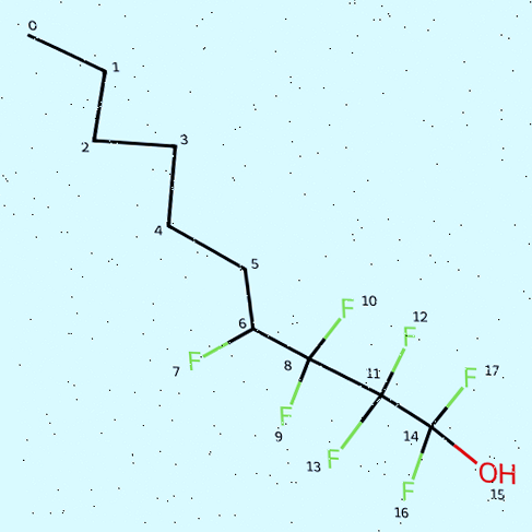 CCCCCCC(F)C(F)(F)C(F)(F)C(O)(F)F